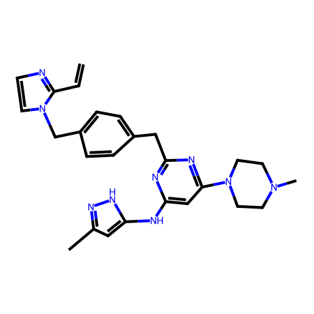 C=Cc1nccn1Cc1ccc(Cc2nc(Nc3cc(C)n[nH]3)cc(N3CCN(C)CC3)n2)cc1